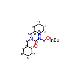 CCCCOCNC(=O)N(CC1CCCCC1)CC1CCCCC1